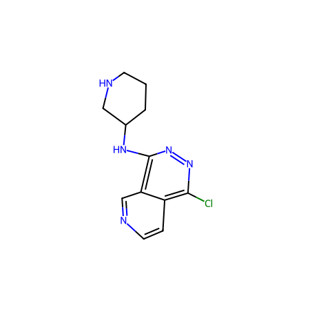 Clc1nnc(NC2CCCNC2)c2cnccc12